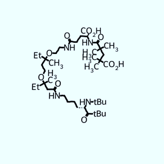 CCC(C)(CCOC(C)(CC)CC(=O)NCCCC[C@H](NC(C)(C)C)C(=O)C(C)(C)C)OCCNC(=O)CC[C@H](NC(=O)C(C)(C)CC(C)(C)C(=O)O)C(=O)O